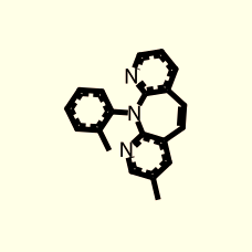 Cc1cnc2c(c1)C=Cc1cccnc1N2c1ccccc1C